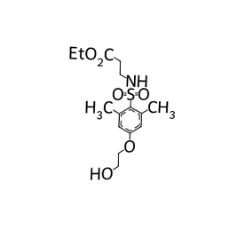 CCOC(=O)CCNS(=O)(=O)c1c(C)cc(OCCO)cc1C